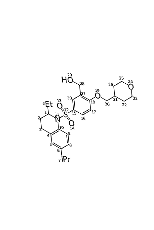 CCC1CCc2cc(C(C)C)ccc2N1S(=O)(=O)c1ccc(OCC2CCOCC2)c(CO)c1